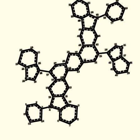 c1ccc(-n2c3ccccc3c3cc4c(cc32)c(-c2csc3ccccc23)cc2cc3c(cc(-c5csc6ccccc56)c5cc6c(cc53)c3ccccc3n6-c3ccccc3)cc24)cc1